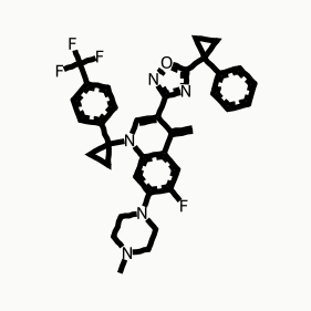 C=C1C(c2noc(C3(c4ccccc4)CC3)n2)=CN(C2(c3ccc(C(F)(F)F)cc3)CC2)c2cc(N3CCN(C)CC3)c(F)cc21